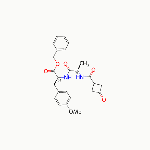 COc1ccc(C[C@H](NC(=O)[C@@H](C)NC(=O)C2CC(=O)C2)C(=O)OCc2ccccc2)cc1